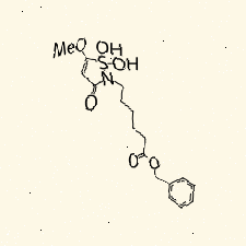 COC1=CC(=O)N(CCCCCC(=O)OCc2ccccc2)S1(O)O